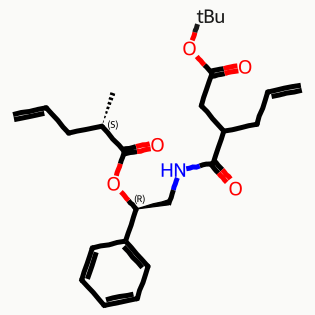 C=CCC(CC(=O)OC(C)(C)C)C(=O)NC[C@H](OC(=O)[C@@H](C)CC=C)c1ccccc1